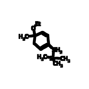 CCOC1(C)C=CC([SiH2][Si](C)(C)C)=CC1